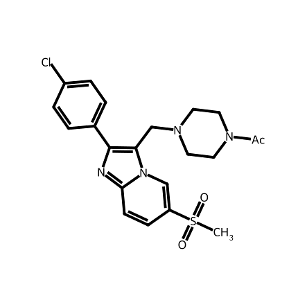 CC(=O)N1CCN(Cc2c(-c3ccc(Cl)cc3)nc3ccc(S(C)(=O)=O)cn23)CC1